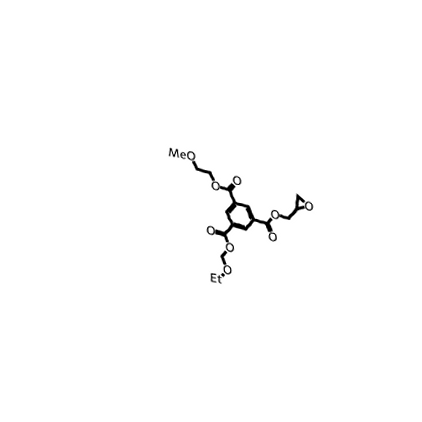 CCOCOC(=O)c1cc(C(=O)OCCOC)cc(C(=O)OCC2CO2)c1